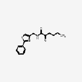 CCCCC(=O)C(=O)NCc1csc(-c2ccccc2)n1